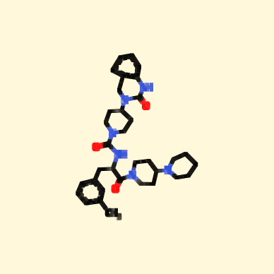 Cc1cccc(CC(NC(=O)N2CCC(N3Cc4ccccc4NC3=O)CC2)C(=O)N2CCC(N3CCCCC3)CC2)c1